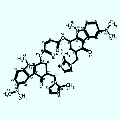 Cc1nccn1CC1CC(OC(=O)/C=C\C(=O)OC2CC(Cn3ccnc3C)C(=O)c3c2n(C)c2ccc(N(C)C)cc32)c2c(c3cc(N(C)C)ccc3n2C)C1=O